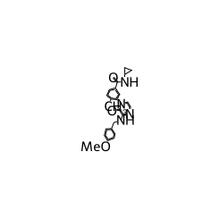 COc1ccc(CNc2nccn(-c3cc(C(=O)NC4CC4)ccc3C)c2=O)cc1